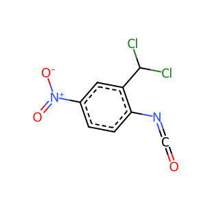 O=C=Nc1ccc([N+](=O)[O-])cc1C(Cl)Cl